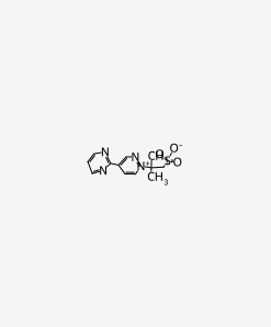 CC(C)(CS(=O)(=O)[O-])[n+]1ccc(-c2ncccn2)cn1